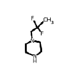 CC(F)(F)CN1CCNCC1